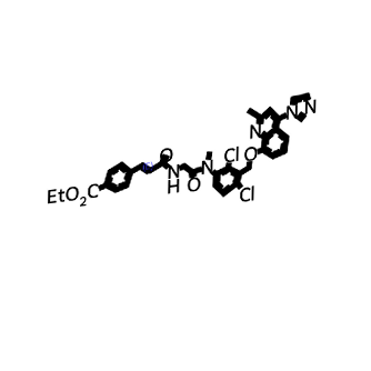 CCOC(=O)c1ccc(/C=C/C(=O)NCC(=O)N(C)c2ccc(Cl)c(COc3cccc4c(-n5ccnc5)cc(C)nc34)c2Cl)cc1